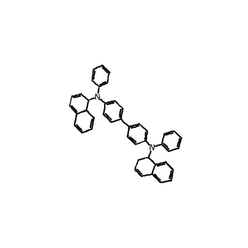 C1=CC2=CC=CC(N(c3ccccc3)c3ccc(-c4ccc(N(c5ccccc5)C5CC=Cc6ccccc65)cc4)cc3)C2C=C1